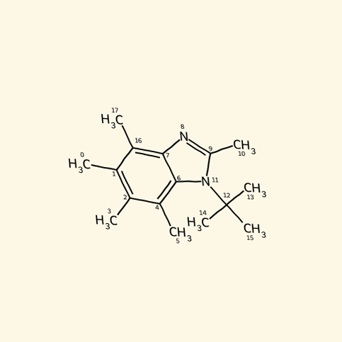 Cc1c(C)c(C)c2c(nc(C)n2C(C)(C)C)c1C